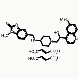 COc1ccc2nccc(C(O)CN3CCC(NCc4ccc5c(c4)oc(=S)n5C)CC3)c2c1.O=C(O)C=CC(=O)O.O=C(O)C=CC(=O)O